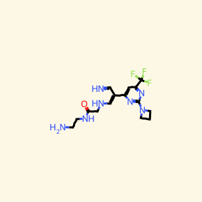 N=C/C(=C\NCC(=O)NCCN)c1cc(C(F)(F)F)nc(N2CCC2)n1